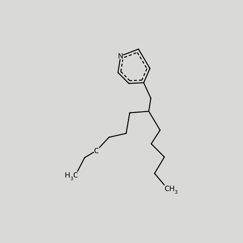 CCCCCCC(CCCCC)Cc1ccncc1